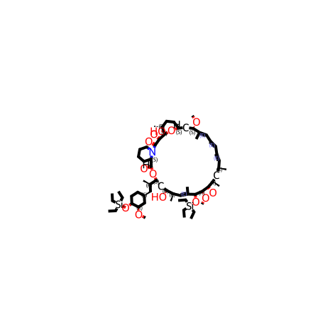 CC[Si](CC)(CC)OC1CC[C@@H](C[C@@H](C)[C@@H]2C[C@@H](O)[C@H](C)/C=C(\C)C(O[Si](CC)(CC)CC)[C@@H](OC)C(=O)[C@H](C)C[C@H](C)/C=C/C=C/C=C(\C)[C@@H](OC)C[C@@H]3CC[C@@H](C)[C@@](O)(O3)C(=O)C(=O)N3CCCC[C@H]3C(=O)O2)C[C@H]1OC